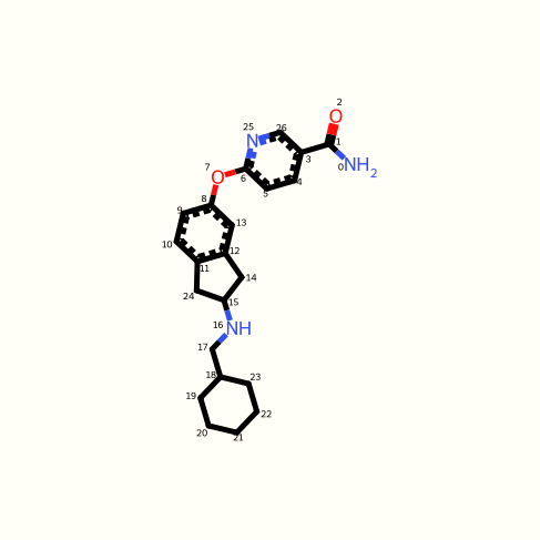 NC(=O)c1ccc(Oc2ccc3c(c2)CC(NCC2CCCCC2)C3)nc1